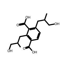 CC(CO)Cc1ccc(C(=O)O)c(CC(C)CO)c1C(=O)O